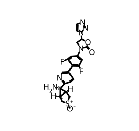 N[C@]1(c2ccc(-c3c(F)cc(N4CC(n5ccnn5)OC4=O)cc3F)cn2)[C@@H]2C[S+]([O-])C[C@@H]21